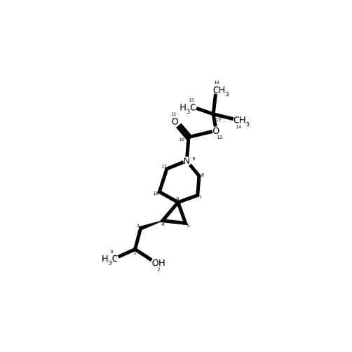 CC(O)C[C@@H]1CC12CCN(C(=O)OC(C)(C)C)CC2